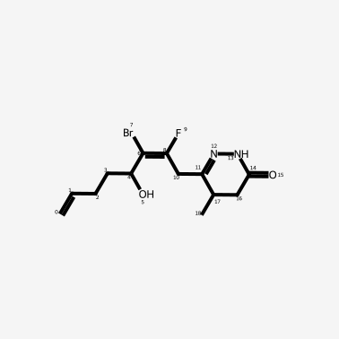 C=CCCC(O)/C(Br)=C(/F)CC1=NNC(=O)CC1C